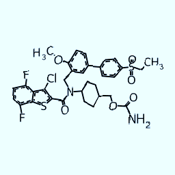 CCS(=O)(=O)c1ccc(-c2ccc(OC)c(CN(C(=O)c3sc4c(F)ccc(F)c4c3Cl)C3CCC(COC(N)=O)CC3)c2)cc1